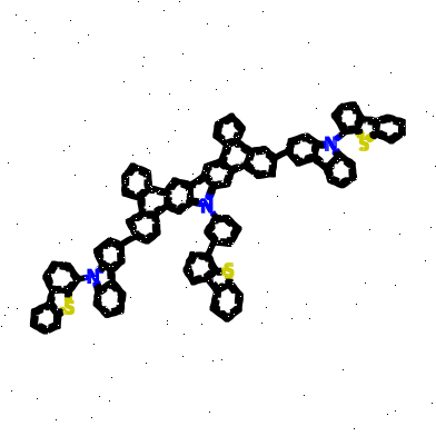 c1cc(-c2cccc3c2sc2ccccc23)cc(-n2c3cc4c5ccc(-c6ccc7c(c6)c6ccccc6n7-c6cccc7c6sc6ccccc67)cc5c5ccccc5c4cc3c3cc4c5ccccc5c5cc(-c6ccc7c(c6)c6ccccc6n7-c6cccc7c6sc6ccccc67)ccc5c4cc32)c1